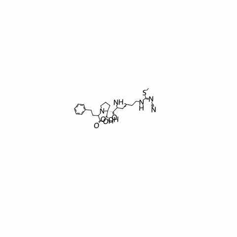 CS/C(=N/C#N)NCCCC[C@H](N)C(=O)[C@@]1(C(=O)O)CCCN1C(CCc1ccccc1)C(=O)O